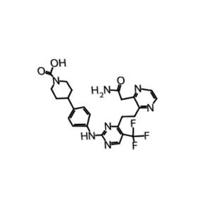 NC(=O)Cc1nccnc1CCc1nc(Nc2ccc(C3CCN(C(=O)O)CC3)cc2)ncc1C(F)(F)F